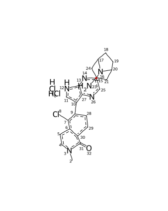 Cl.Cl.Cn1ccc2c(Cl)c(-c3c[nH]c4nc(N5C6CCC5CC(N)C6)cnc34)ccc2c1=O